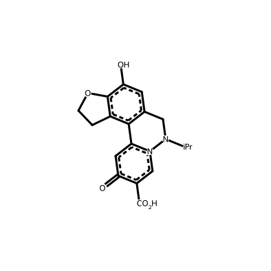 CC(C)N1Cc2cc(O)c3c(c2-c2cc(=O)c(C(=O)O)cn21)CCO3